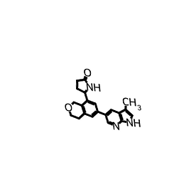 Cc1c[nH]c2ncc(-c3cc4c(c(C5CCC(=O)N5)c3)COCC4)cc12